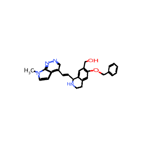 Cn1ccc2c(/C=C/C3NCCc4cc(OCc5ccccc5)c(CO)cc43)cnnc21